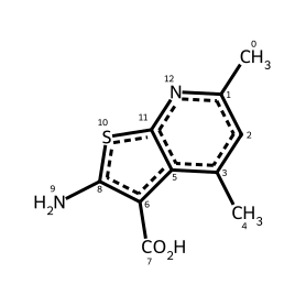 Cc1cc(C)c2c(C(=O)O)c(N)sc2n1